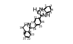 Nc1ccccc1NC(=O)c1ccc(CC2=NCCc3ccccc32)cc1